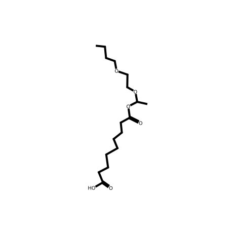 CCCCOCCOC(C)OC(=O)CCCCCCCC(=O)O